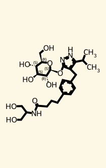 CC(C)c1[nH]nc(O[C@@H]2O[C@H](CO)[C@@H](O)[C@H](O)[C@H]2O)c1Cc1ccc(CCCC(=O)NC(CO)CO)cc1